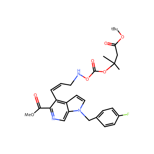 COC(=O)c1ncc2c(ccn2Cc2ccc(F)cc2)c1/C=C\CNOC(=O)OC(C)(C)CC(=O)OC(C)(C)C